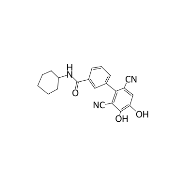 N#Cc1cc(O)c(O)c(C#N)c1-c1cccc(C(=O)NC2CCCCC2)c1